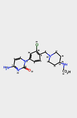 Nc1ccn(-c2ccc(CN3CCC(NC(=O)O)CC3)c(Cl)c2)c(=O)n1